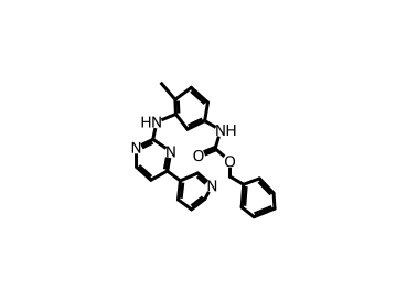 Cc1ccc(NC(=O)OCc2ccccc2)cc1Nc1nccc(-c2cccnc2)n1